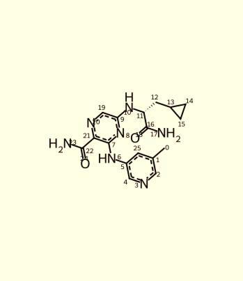 Cc1cncc(Nc2nc(N[C@H](CC3CC3)C(N)=O)cnc2C(N)=O)c1